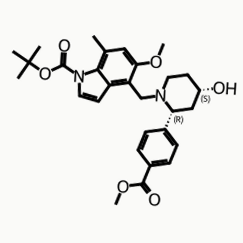 COC(=O)c1ccc([C@H]2C[C@@H](O)CCN2Cc2c(OC)cc(C)c3c2ccn3C(=O)OC(C)(C)C)cc1